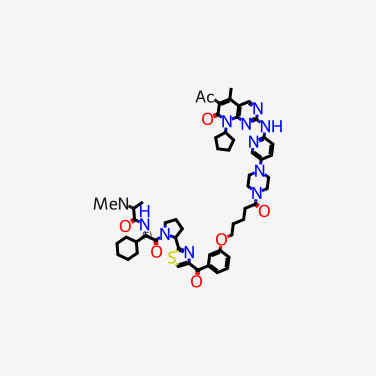 CNC(C)C(=O)N[C@H](C(=O)N1CCCC1c1nc(C(=O)c2cccc(OCCCCC(=O)N3CCN(c4ccc(Nc5ncc6c(C)c(C(C)=O)c(=O)n(C7CCCC7)c6n5)nc4)CC3)c2)cs1)C1CCCCC1